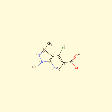 Cc1nn(C)c2ncc(C(=O)O)c(Cl)c12